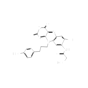 CCC(=O)Nc1cc2c(cc1C)nc1c(=O)[nH]c(=O)nc-1n2CCCc1ccc(C)cc1